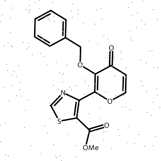 COC(=O)c1scnc1-c1occc(=O)c1OCc1ccccc1